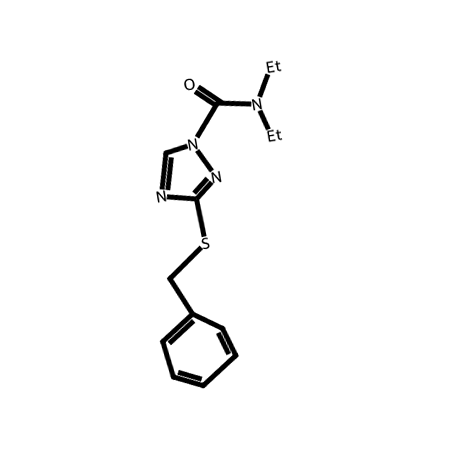 CCN(CC)C(=O)n1cnc(SCc2ccccc2)n1